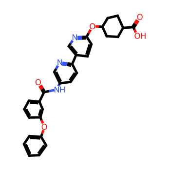 O=C(Nc1ccc(-c2ccc(OC3CCC(C(=O)O)CC3)nc2)nc1)c1cccc(Oc2ccccc2)c1